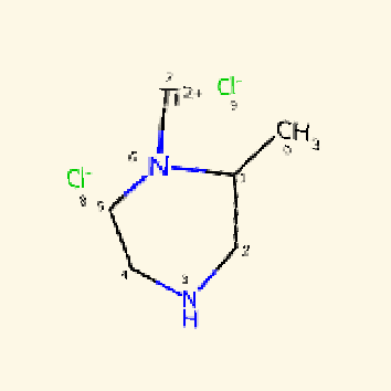 CC1CNCC[N]1[Ti+2].[Cl-].[Cl-]